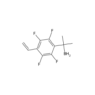 BC(C)(C)c1c(F)c(F)c(C=C)c(F)c1F